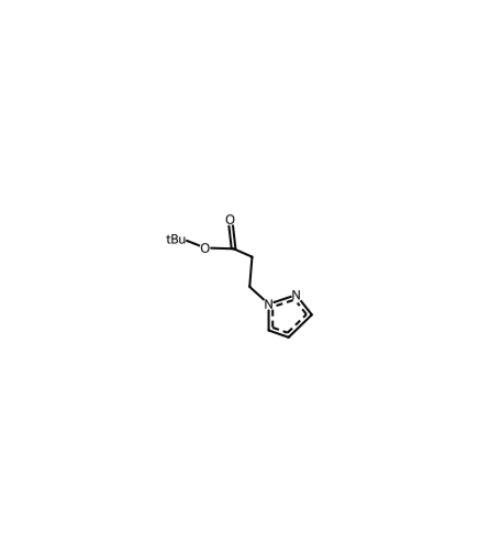 CC(C)(C)OC(=O)CCn1cccn1